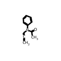 C=C=CN(C(C)=O)c1ccccc1